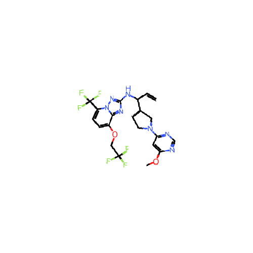 C=CC(Nc1nc2c(OCC(F)(F)F)ccc(C(F)(F)F)n2n1)C1CCN(c2cc(OC)ncn2)C1